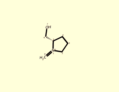 C=[N+]1CCC[C@H]1CO